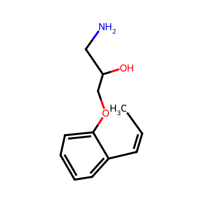 C/C=C\c1ccccc1OCC(O)CN